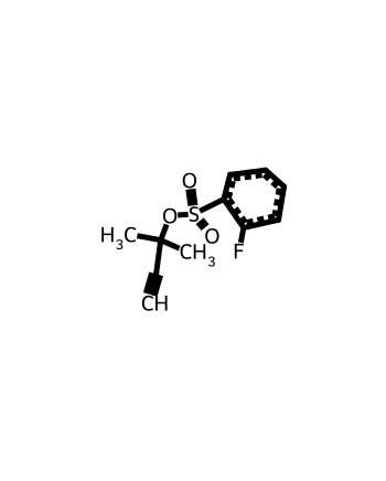 C#CC(C)(C)OS(=O)(=O)c1ccccc1F